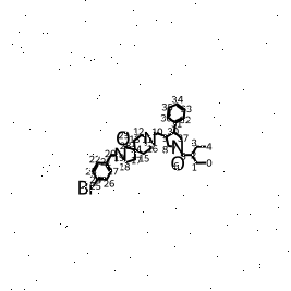 CCC(CC)C(=O)N1CC(CN2CCC3(CC2)CCN(Cc2ccc(Br)cc2)C3=O)C(c2ccccc2)C1